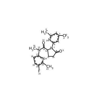 Cc1cc(C(F)(F)F)cc(N2C(=O)CCC2C(=O)N(C)c2ccc(F)c(C)n2)n1